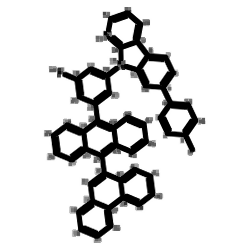 Cc1ccc(-c2ccc3c4cccnc4n(-c4cc(F)cc(-c5c6ccccc6c(-c6cc7ccccc7c7ccccc67)c6ccccc56)c4)c3c2)cc1